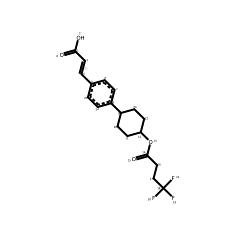 O=C(O)/C=C/c1ccc(C2CCC(OC(=O)CCC(F)(F)F)CC2)cc1